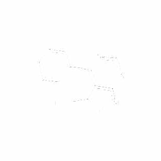 O=C(O)c1c[nH]c2ncnc(-c3ccccc3)c12